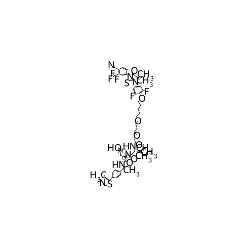 Cc1ncsc1-c1ccc(C(C)NC(=O)[C@@H]2C[C@@H](O)CN2C(=O)C(NC(=O)COCCCOCCCCCOc2c(F)cc(N3C(=S)N(c4ccc(C#N)c(C(F)(F)F)c4)C(=O)C3(C)C)cc2F)C(C)(C)C)cc1